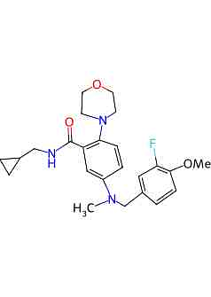 COc1ccc(CN(C)c2ccc(N3CCOCC3)c(C(=O)NCC3CC3)c2)cc1F